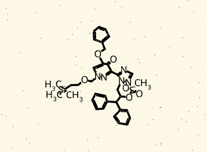 C[Si](C)(C)CCOCn1cc(OCc2ccccc2)c(=O)c(-c2ncnn2CC(OS(C)(=O)=O)C(c2ccccc2)c2ccccc2)n1